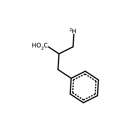 [2H]CC(Cc1ccccc1)C(=O)O